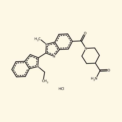 CCn1c(-c2nc3cc(C(=O)N4CCC(C(N)=O)CC4)ccc3n2C)cc2ccccc21.Cl